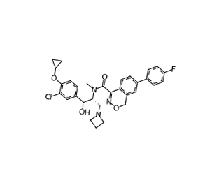 CN(C(=O)C1=NOCc2cc(-c3ccc(F)cc3)ccc21)[C@H](CN1CCC1)[C@H](O)c1ccc(OC2CC2)c(Cl)c1